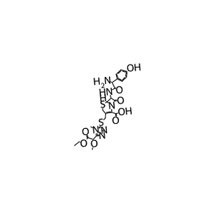 CCOC(=O)C(OC)c1nnc(SCC2=C(C(=O)O)N3C(=O)C(NC(=O)C(N)c4ccc(O)cc4)[C@@H]3SC2)n1C